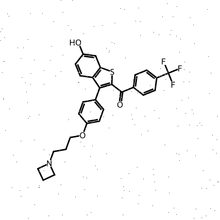 O=C(c1ccc(C(F)(F)F)cc1)c1sc2cc(O)ccc2c1-c1ccc(OCCCN2CCC2)cc1